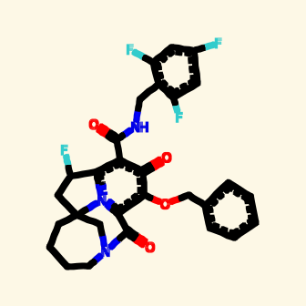 O=C(NCc1c(F)cc(F)cc1F)c1c2n3c(c(OCc4ccccc4)c1=O)C(=O)N1CCCCC3(CC2F)C1